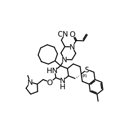 C=CC(=O)N1CCN(C2(C3CCCCCCC3)NC(OCC3CCCN3C)NC3C[C@@]4(CCC32)Cc2cc(C)ccc2CS4)CC1CC#N